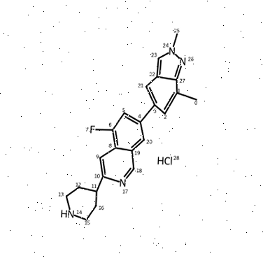 Cc1cc(-c2cc(F)c3cc(C4CCNCC4)ncc3c2)cc2cn(C)nc12.Cl